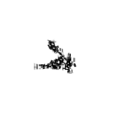 COC(=O)C1(Nc2cccc(Cl)c2)CCC2(CC1)c1cc3c(cc1CC2C[C@@H](C)COc1ccnc2c1CCCC2)OC(CCO)CO3